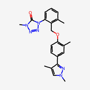 Cc1cc(-c2nn(C)cc2C)ccc1OCc1c(C)cccc1-n1nnn(C)c1=O